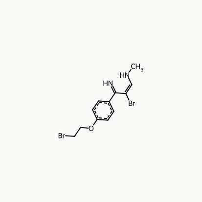 CN/C=C(/Br)C(=N)c1ccc(OCCBr)cc1